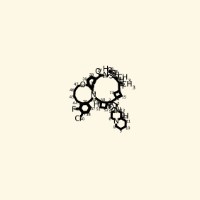 CO[C@@]1(CN2CCN3CCCC[C@H]3C2)C2=C[C@@H](C2)[C@H](C)[C@@H](C)S(=O)(=O)NC(=O)c2ccc3c(c2)N(Cc2ccc(Cl)c(F)c2CCCCO3)C[C@@H]2CC[C@H]21